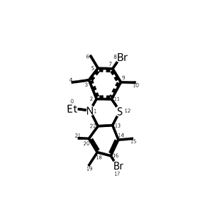 CCN1c2c(C)c(C)c(Br)c(C)c2SC2C(C)=C(Br)C(C)=C(C)C21